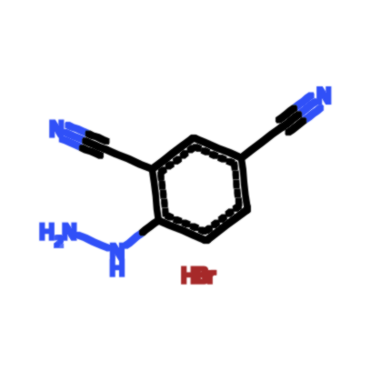 Br.N#Cc1ccc(NN)c(C#N)c1